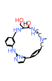 CN1CCNC(=O)[C@H](CO)NCc2cccc(c2)Nc2nccc(n2)-c2ccc(cc2)C1